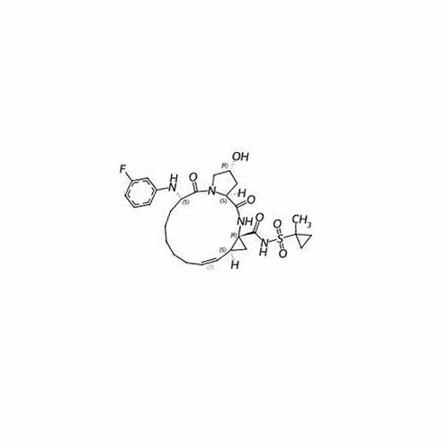 CC1(S(=O)(=O)NC(=O)[C@@]23C[C@H]2/C=C\CCCCC[C@H](Nc2cccc(F)c2)C(=O)N2C[C@H](O)C[C@H]2C(=O)N3)CC1